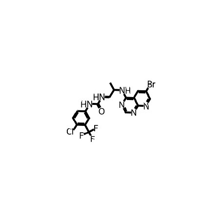 CC(CNC(=O)Nc1ccc(Cl)c(C(F)(F)F)c1)Nc1ncnc2ncc(Br)cc12